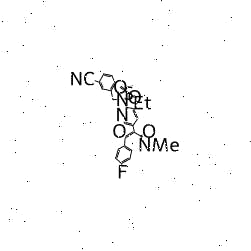 CCc1cc2c(C(=O)NC)c(-c3ccc(F)cc3)oc2nc1N(Cc1cccc(C#N)c1)S(C)(=O)=O